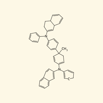 CC1(c2ccc(N(C3=CC4C=CC=CC4CC3)c3ccccc3)cc2)C=CC(N(C2=CCCC=C2)c2ccc3ccccc3c2)=CC1